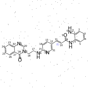 Nc1ccccc1NC(=O)/C=C/c1ccc(NCCn2cnc3ccccc3c2=O)nc1